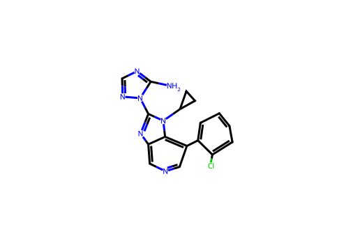 Nc1ncnn1-c1nc2cncc(-c3ccccc3Cl)c2n1C1CC1